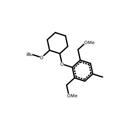 CCC(C)OC1CCCCC1Oc1c(COC)cc(C)cc1COC